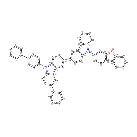 c1ccc(-c2ccc(-n3c4ccc(-c5ccccc5)cc4c4cc(-c5ccc6c(c5)c5ccccc5n6-c5ccc6c(c5)oc5ccccc56)ccc43)cc2)cc1